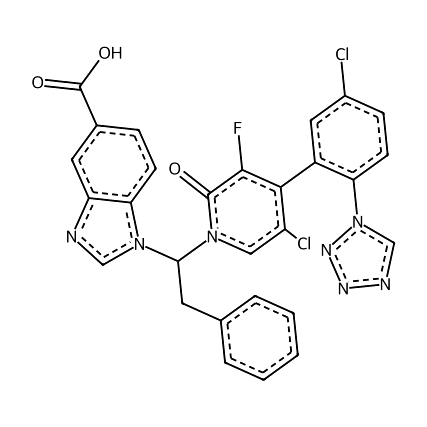 O=C(O)c1ccc2c(c1)ncn2C(Cc1ccccc1)n1cc(Cl)c(-c2cc(Cl)ccc2-n2cnnn2)c(F)c1=O